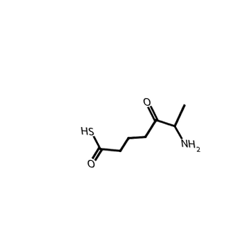 CC(N)C(=O)CCCC(=O)S